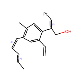 C=Cc1cc(/C=C\C=C\C)c(C)cc1/C(=C\C(C)C)CO